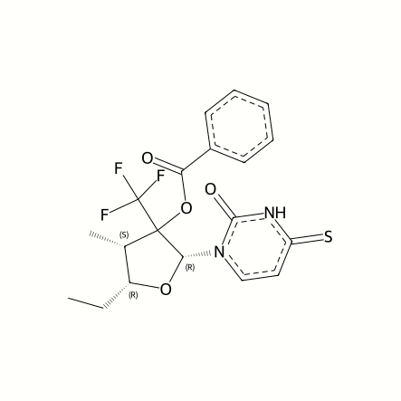 CC[C@H]1O[C@@H](n2ccc(=S)[nH]c2=O)C(OC(=O)c2ccccc2)(C(F)(F)F)[C@H]1C